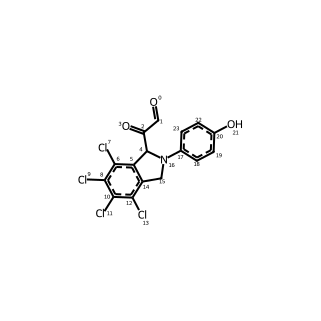 O=CC(=O)C1c2c(Cl)c(Cl)c(Cl)c(Cl)c2CN1c1ccc(O)cc1